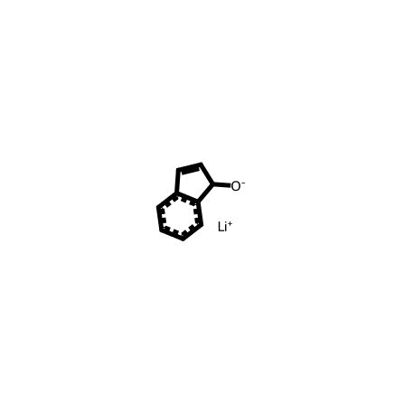 [Li+].[O-]C1C=Cc2ccccc21